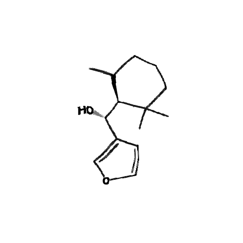 CC1CCCC(C)(C)[C@H]1[C@@H](O)c1ccoc1